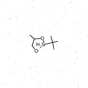 CC(C[O])O[SiH2]C(C)(C)C